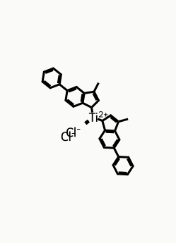 [CH2]=[Ti+2]([CH]1C=C(C)c2cc(-c3ccccc3)ccc21)[CH]1C=C(C)c2cc(-c3ccccc3)ccc21.[Cl-].[Cl-]